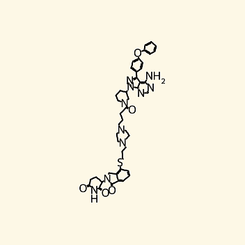 Nc1ncnc2c1c(-c1ccc(Oc3ccccc3)cc1)nn2C1CCCN(C(=O)CCCN2CCN(CCCSc3cccc4c3CN(C3CCC(=O)NC3=O)C4=O)CC2)C1